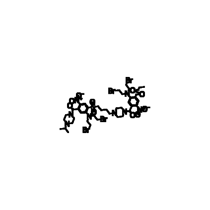 CCS(=O)(=O)c1cc([N+](=O)[O-])c(C(=O)N2CCN(CCCCS(=O)(=O)c3cc([N+](=O)[O-])c(C(=O)N4CCN(C(C)C)CC4)cc3N(CCBr)CCBr)CC2)cc1N(CCBr)CCBr